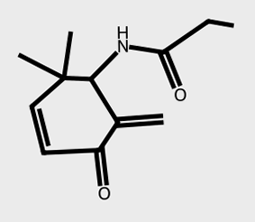 C=C1C(=O)C=CC(C)(C)C1NC(=O)CC